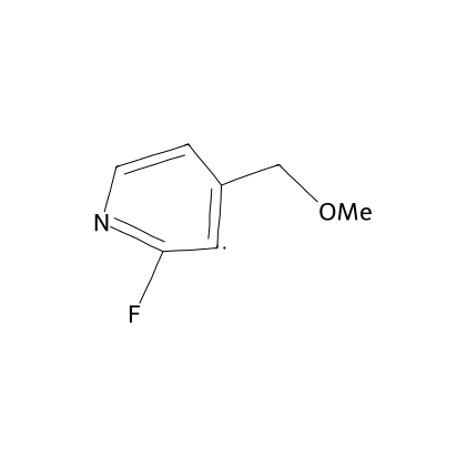 COCc1[c]c(F)ncc1